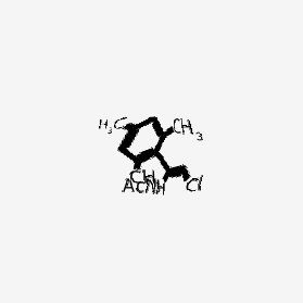 CC(=O)NC(=CCl)c1c(C)cc(C)cc1C